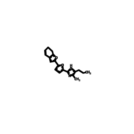 CCCc1[nH]c(-c2ccc(-c3cc4c(o3)CCC=C4)o2)nc1C